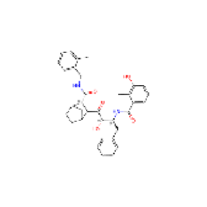 Cc1ccccc1CNC(=O)[C@H]1C2CCC(C2)C1C(=O)[C@@H](O)[C@H](Cc1ccccc1)NC(=O)c1cccc(O)c1C